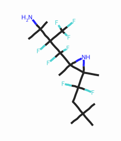 CC(C)(C)CC(F)(F)C1(C)NC1(C)C(F)(F)C(F)(C(C)(C)N)C(F)(F)F